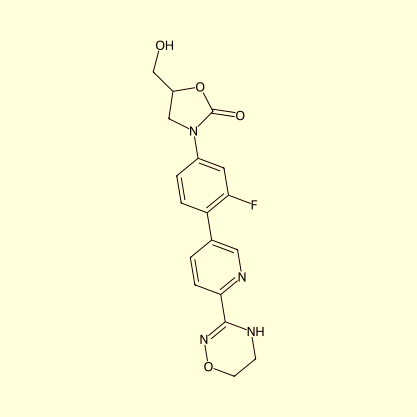 O=C1OC(CO)CN1c1ccc(-c2ccc(C3=NOCCN3)nc2)c(F)c1